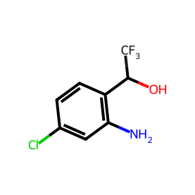 Nc1cc(Cl)ccc1C(O)C(F)(F)F